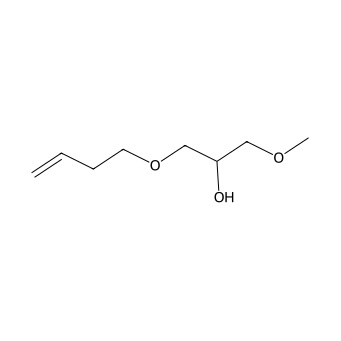 C=CCCOCC(O)COC